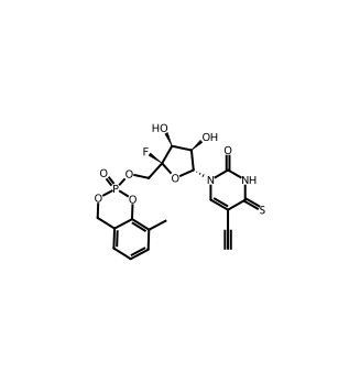 C#Cc1cn([C@@H]2O[C@](F)(COP3(=O)OCc4cccc(C)c4O3)[C@@H](O)[C@H]2O)c(=O)[nH]c1=S